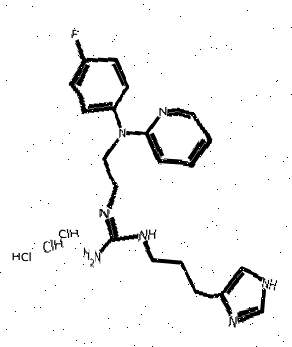 Cl.Cl.Cl.NC(=NCCN(c1ccc(F)cc1)c1ccccn1)NCCCc1c[nH]cn1